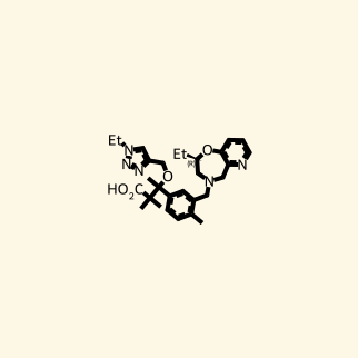 CC[C@@H]1CN(Cc2cc(C(C)(OCc3cn(CC)nn3)C(C)(C)C(=O)O)ccc2C)Cc2ncccc2O1